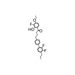 CCCc1ccc(-c2ccc(CCCC(=O)c3ccc(OCC)c(F)c3O)cc2)c(F)c1F